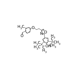 Cc1cc(OCCc2coc(-c3cc(C(C)(C)C)c(O)c(C(C)(C)C)c3)n2)ccc1C=O